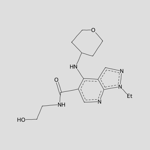 CCn1ncc2c(NC3CCOCC3)c(C(=O)NCCO)cnc21